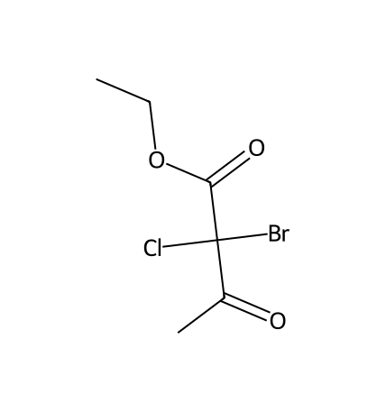 CCOC(=O)C(Cl)(Br)C(C)=O